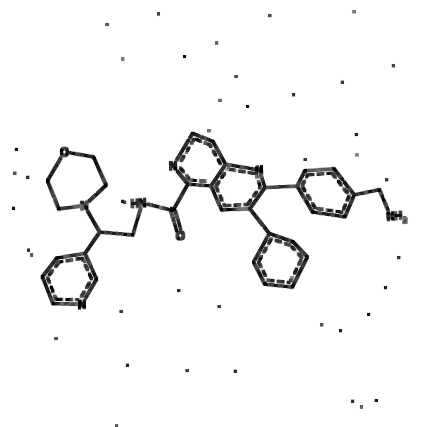 NCc1ccc(-c2nc3ccnc(C(=O)NCC(c4cccnc4)N4CCOCC4)c3cc2-c2ccccc2)cc1